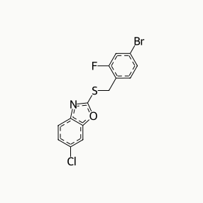 Fc1cc(Br)ccc1CSc1nc2ccc(Cl)cc2o1